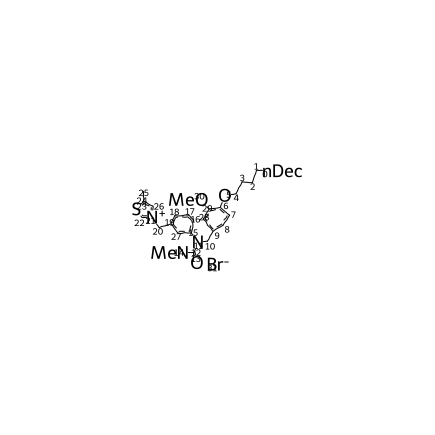 CCCCCCCCCCCCCCOc1ccc(CN(C(=O)NC)c2cccc(C[n+]3csc(C)c3)c2)cc1OC.[Br-]